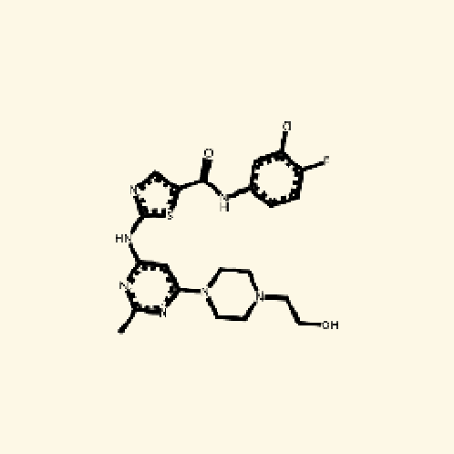 Cc1nc(Nc2ncc(C(=O)Nc3ccc(F)c(Cl)c3)s2)cc(N2CCN(CCO)CC2)n1